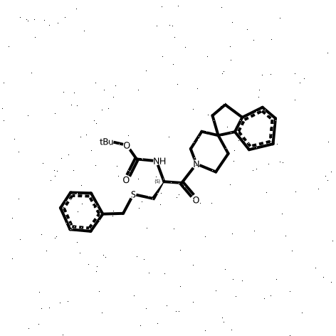 CC(C)(C)OC(=O)N[C@H](CSCc1ccccc1)C(=O)N1CCC2(CCc3ccccc32)CC1